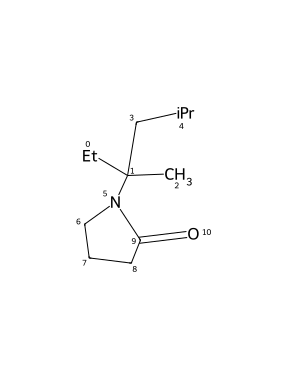 CCC(C)(CC(C)C)N1CCCC1=O